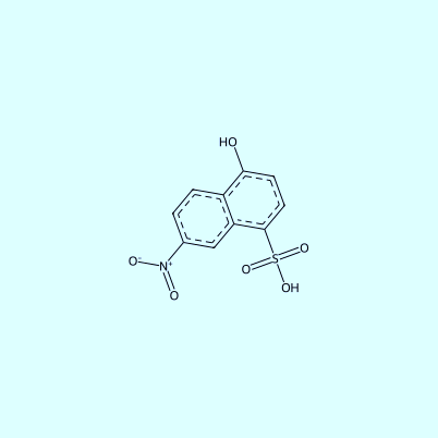 O=[N+]([O-])c1ccc2c(O)ccc(S(=O)(=O)O)c2c1